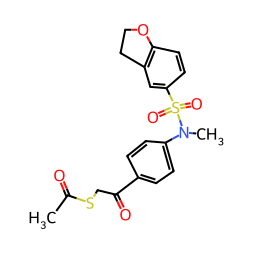 CC(=O)SCC(=O)c1ccc(N(C)S(=O)(=O)c2ccc3c(c2)CCO3)cc1